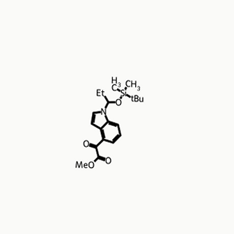 CCC(O[Si](C)(C)C(C)(C)C)n1ccc2c(C(=O)C(=O)OC)cccc21